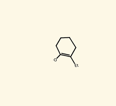 CCC1=C([O])CCCC1